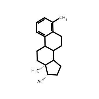 CC(=O)[C@H]1CCC2C3CCc4c(C)cccc4C3CC[C@@]21C